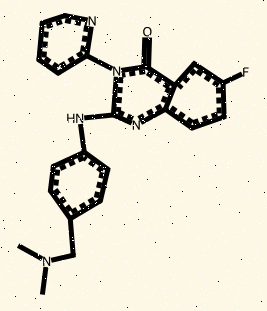 CN(C)Cc1ccc(Nc2nc3ccc(F)cc3c(=O)n2-c2ccccn2)cc1